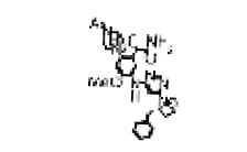 C=C(C(N)=O)c1cc(Nc2cc(N3OCC[C@@H]3Cc3ccccc3)ncn2)c(OC)cc1N1CCN(C(C)=O)CC1